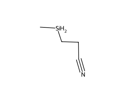 C[SiH2]CCC#N